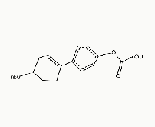 CCCCCCCCC(=O)Oc1ccc(C2=CCC(CCCC)CC2)cc1